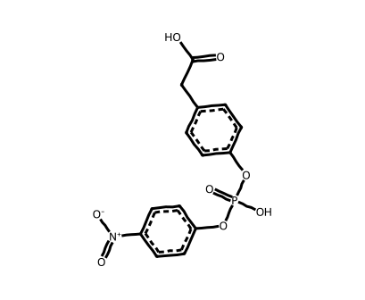 O=C(O)Cc1ccc(OP(=O)(O)Oc2ccc([N+](=O)[O-])cc2)cc1